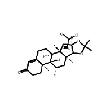 CC1(C)O[C@@H]2C[C@H]3[C@@H]4CCC5=CC(=O)CC[C@]5(C)[C@@]4(Cl)[C@@H](Cl)C[C@]3(C)[C@]2(C(=O)C(Cl)Cl)O1